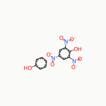 O=[N+]([O-])c1cc([N+](=O)[O-])c(O)c([N+](=O)[O-])c1.Oc1ccccc1